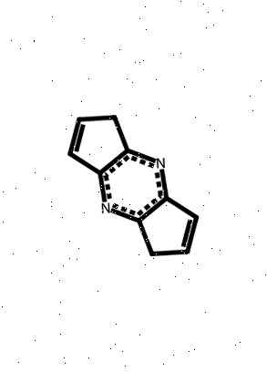 C1=Cc2nc3c(nc2C1)C=CC3